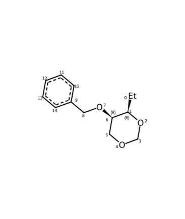 CC[C@H]1OCOC[C@H]1OCc1ccccc1